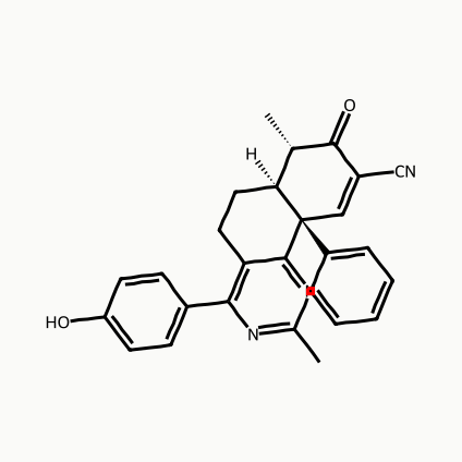 Cc1nc(-c2ccc(O)cc2)c2c(n1)[C@@]1(c3ccccc3)C=C(C#N)C(=O)[C@@H](C)[C@@H]1CC2